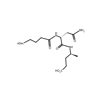 CCCCCCCCCCCCCC(=O)N[C@H](CC(N)=O)C(=O)N[C@@H](C)CCC(=O)O